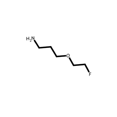 NCCCOCCF